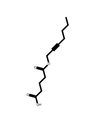 CCCCC#CCOC(=O)CCCC(=O)O